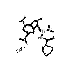 CC1=Cc2c(C(C)C)cc(C(C)C)cc2[CH]1[Ti+2]([NH]C(=O)C1CCCCC1)=[Si](C)C.[Cl-].[Cl-]